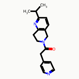 CC(C)c1ccc2c(n1)CCN(C(=O)Cc1ccncc1)C2